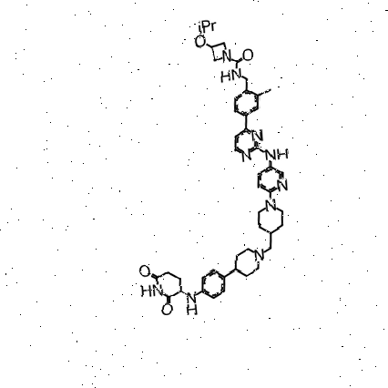 Cc1cc(-c2ccnc(Nc3ccc(N4CCC(CN5CCC(c6ccc(NC7CCC(=O)NC7=O)cc6)CC5)CC4)nc3)n2)ccc1CNC(=O)N1CC(OC(C)C)C1